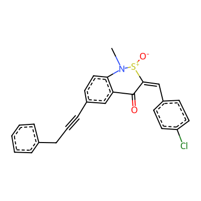 CN1c2ccc(C#CCc3ccccc3)cc2C(=O)/C(=C\c2ccc(Cl)cc2)[S+]1[O-]